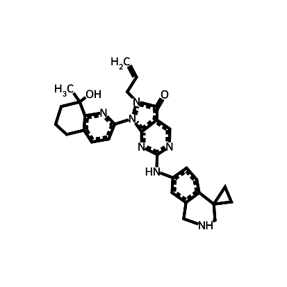 C=CCn1c(=O)c2cnc(Nc3ccc4c(c3)CNCC43CC3)nc2n1-c1ccc2c(n1)C(C)(O)CCC2